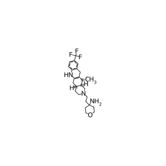 C[C@H]1C2=C(C[C@H]3CCN(CCC4(N)CCOCC4)C[C@@H]31)Nc1ccc(C(F)(F)F)cc1C2